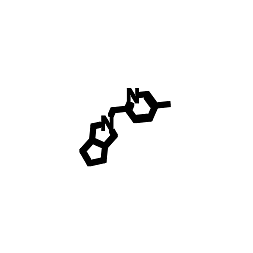 Cc1ccc(CN2CC3CCCC3C2)nc1